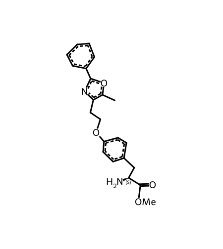 COC(=O)[C@@H](N)Cc1ccc(OCCc2nc(-c3ccccc3)oc2C)cc1